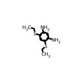 CCSc1cc(SCC)c(N)cc1N